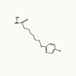 O=C(CCCCCCSc1ccc(F)cc1)NO